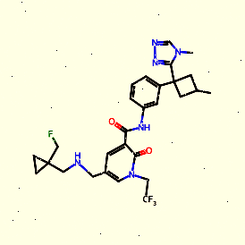 CC1CC(c2cccc(NC(=O)c3cc(CNCC4(CF)CC4)cn(CC(F)(F)F)c3=O)c2)(c2nncn2C)C1